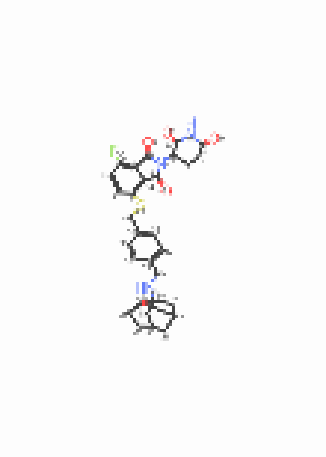 O=C1CCC(N2C(=O)c3c(F)ccc(SCc4ccc(CNC56CC7CC(CC(C7)C5)C6)cc4)c3C2=O)C(=O)N1